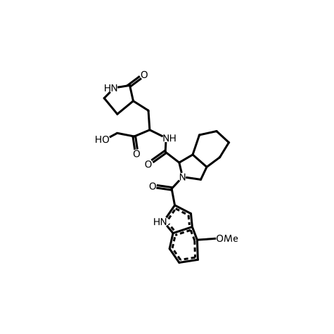 COc1cccc2[nH]c(C(=O)N3CC4CCCCC4C3C(=O)NC(CC3CCNC3=O)C(=O)CO)cc12